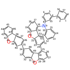 c1ccc(-c2cccc(N(c3ccccc3)c3cccc4oc5cc(-c6cccc7oc8ccc(-c9ccc%10c(c9)oc9ccccc9%10)cc8c67)ccc5c34)c2)cc1